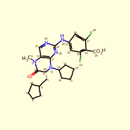 CN1C(=O)[C@@H](CC2CCCC2)N(C2CCCC2)c2nc(Nc3cc(F)c(C(=O)O)c(F)c3)ncc21